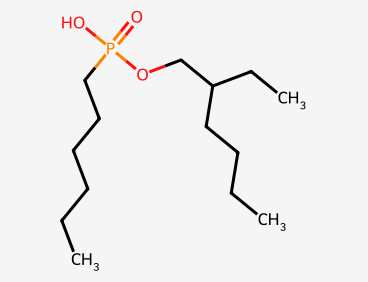 CCCCCCP(=O)(O)OCC(CC)CCCC